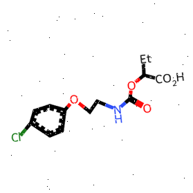 CCC(OC(=O)NCCOc1ccc(Cl)cc1)C(=O)O